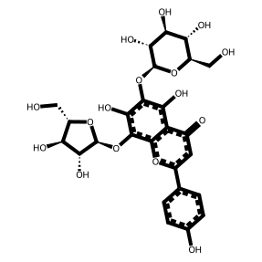 O=c1cc(-c2ccc(O)cc2)oc2c(O[C@@H]3O[C@@H](CO)[C@H](O)[C@H]3O)c(O)c(O[C@@H]3O[C@H](CO)[C@@H](O)[C@H](O)[C@H]3O)c(O)c12